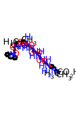 CC(C)(CNC(=O)CCC(=O)N1Cc2ccccc2CCc2ccccc21)COCC(C)(C)CC(=O)NCC(=O)NCC(=O)NCC(=O)NCC(=O)NCOCCNc1ccc(CC(N)CC(C)(C)C(=O)O)cc1